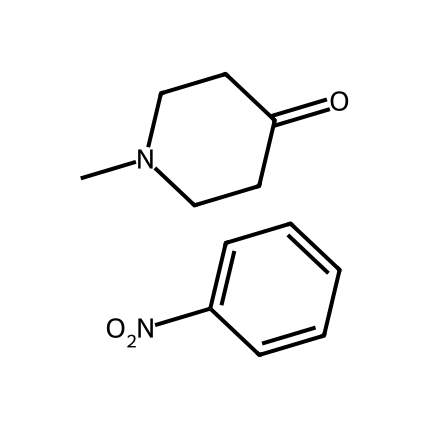 CN1CCC(=O)CC1.O=[N+]([O-])c1ccccc1